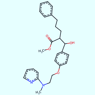 COC(=O)C(CCCc1ccccc1)C(O)c1ccc(OCCN(C)c2ccccn2)cc1